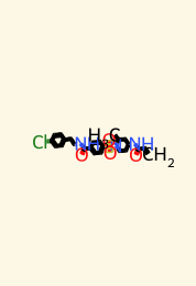 C=CC(=O)NC1CCN(S(=O)(=O)c2ccc(C(=O)NCCc3ccc(Cl)cc3)cc2)C(C)C1